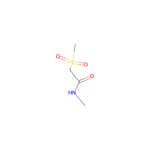 CNC(=O)CS(C)(=O)=O